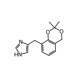 CC1(C)OCc2cccc(Cc3c[nH]cn3)c2O1